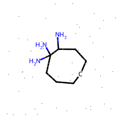 NC1CCCCCCC1(N)N